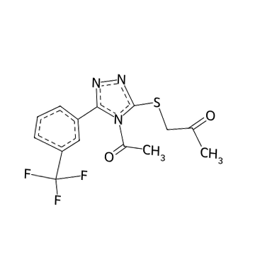 CC(=O)CSc1nnc(-c2cccc(C(F)(F)F)c2)n1C(C)=O